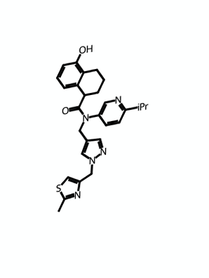 Cc1nc(Cn2cc(CN(C(=O)C3CCCc4c(O)cccc43)c3ccc(C(C)C)nc3)cn2)cs1